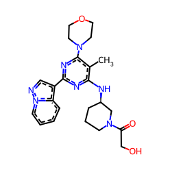 Cc1c(N[C@@H]2CCCN(C(=O)CO)C2)nc(-c2cnn3ccccc23)nc1N1CCOCC1